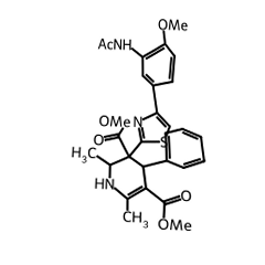 COC(=O)C1=C(C)NC(C)C(C(=O)OC)(c2nc(-c3ccc(OC)c(NC(C)=O)c3)cs2)C1c1ccccc1